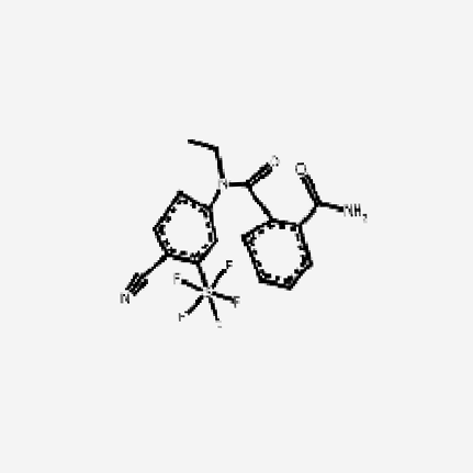 CCN(C(=O)c1ccccc1C(N)=O)c1ccc(C#N)c(S(F)(F)(F)(F)F)c1